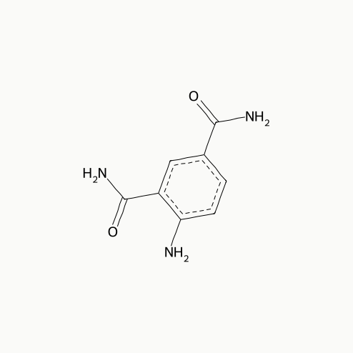 NC(=O)c1ccc(N)c(C(N)=O)c1